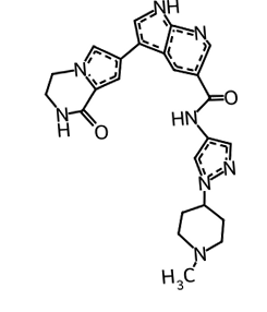 CN1CCC(n2cc(NC(=O)c3cnc4[nH]cc(-c5cc6n(c5)CCNC6=O)c4c3)cn2)CC1